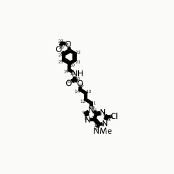 CNc1nc(Cl)nc2c1ncn2CCCCOC(=O)NCc1ccc2c(c1)OCO2